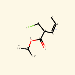 C/C=C\C(CF)C(=O)OC(C(C)C)C(C)C